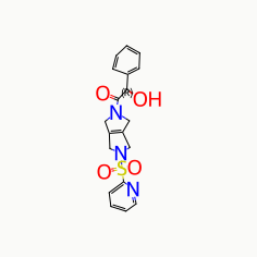 O=C([C@H](O)c1ccccc1)N1CC2=C(C1)CN(S(=O)(=O)c1ccccn1)C2